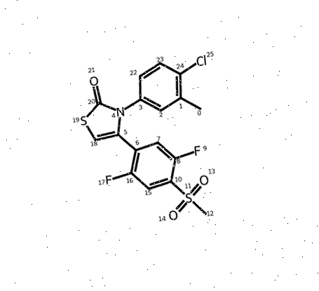 Cc1cc(-n2c(-c3cc(F)c(S(C)(=O)=O)cc3F)csc2=O)ccc1Cl